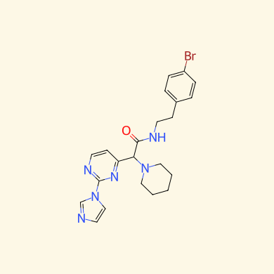 O=C(NCCc1ccc(Br)cc1)C(c1ccnc(-n2ccnc2)n1)N1CCCCC1